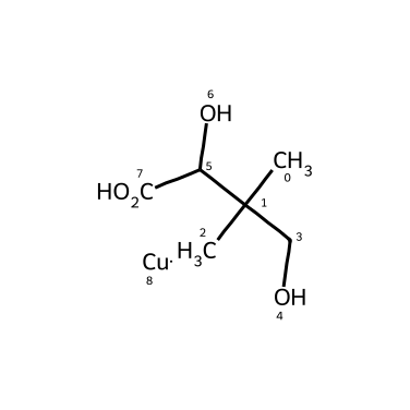 CC(C)(CO)C(O)C(=O)O.[Cu]